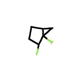 FC1CCC2CC12F